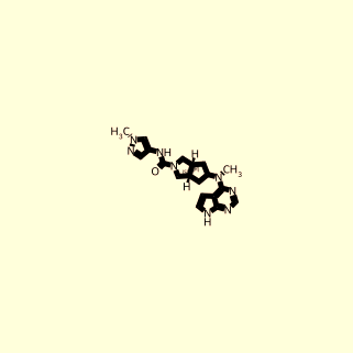 CN(c1ncnc2[nH]ccc12)C1C[C@@H]2CN(C(=O)Nc3cnn(C)c3)C[C@@H]2C1